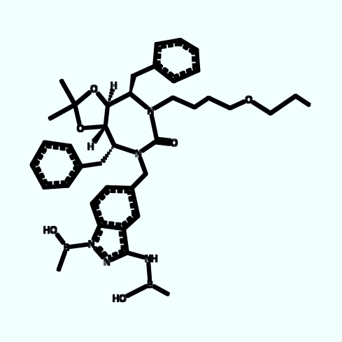 CCCOCCCCN1C(=O)N(Cc2ccc3c(c2)c(NB(C)O)nn3B(C)O)[C@H](Cc2ccccc2)[C@@H]2OC(C)(C)O[C@H]2[C@H]1Cc1ccccc1